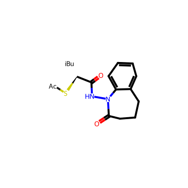 CC[C@H](C)[C@H](SC(C)=O)C(=O)NN1C(=O)CCCc2ccccc21